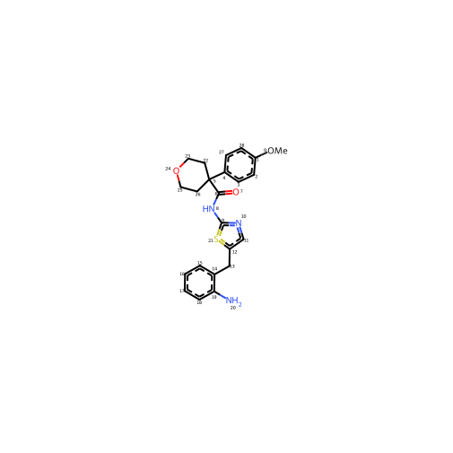 COc1ccc(C2(C(=O)Nc3ncc(Cc4ccccc4N)s3)CCOCC2)cc1